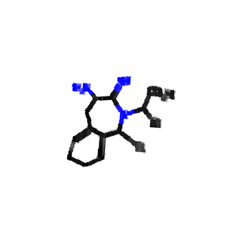 CCC(C(=O)O)N1C(=N)C(N)CC2=CCCC=C2C1CC